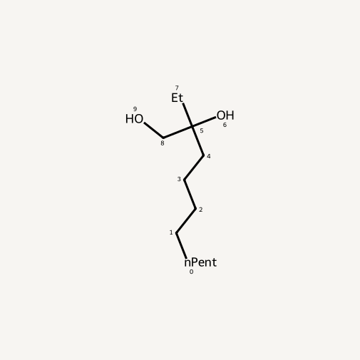 CCCCCCCCCC(O)(CC)CO